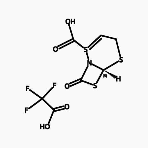 O=C(O)C(F)(F)F.O=C1S[C@@H]2SCC=S(C(=O)O)N12